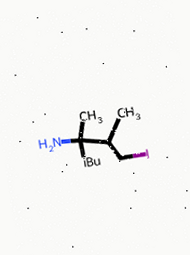 CCC(C)C(C)(N)C(C)CI